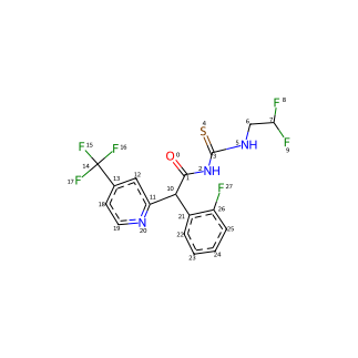 O=C(NC(=S)NCC(F)F)C(c1cc(C(F)(F)F)ccn1)c1ccccc1F